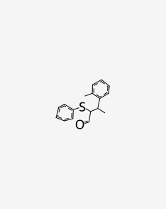 Cc1ccccc1C(C)C(C=O)Sc1ccccc1